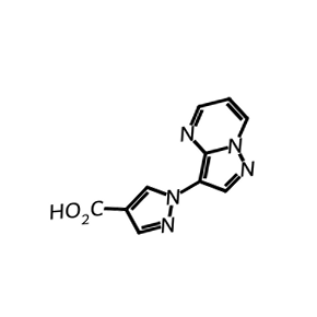 O=C(O)c1cnn(-c2cnn3cccnc23)c1